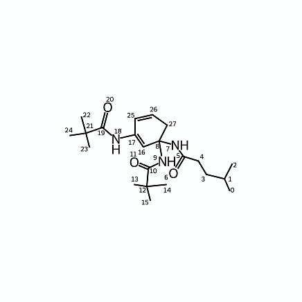 CC(C)CCC(=O)NC1(NC(=O)C(C)(C)C)C=C(NC(=O)C(C)(C)C)C=CC1